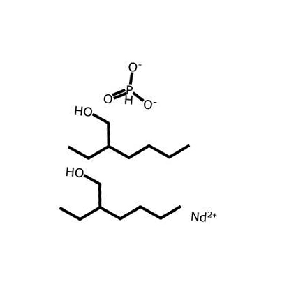 CCCCC(CC)CO.CCCCC(CC)CO.O=[PH]([O-])[O-].[Nd+2]